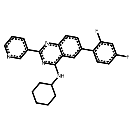 Fc1ccc(-c2ccc3nc(-c4cccnc4)nc(NC4CCCCC4)c3c2)c(F)c1